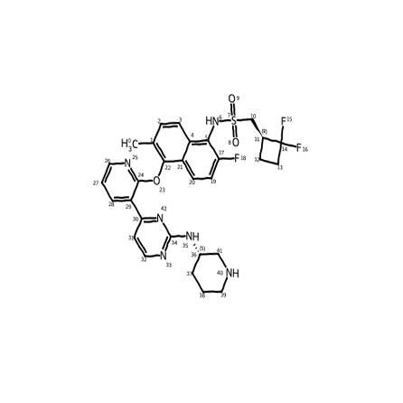 Cc1ccc2c(NS(=O)(=O)C[C@@H]3CCC3(F)F)c(F)ccc2c1Oc1ncccc1-c1ccnc(N[C@H]2CCCNC2)n1